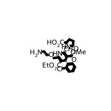 CCOC(=O)C1=C(COCCN)NC(C)=C(C(=O)OC)[C@@H]1c1ccccc1Cl.O=C1CCC(C(=O)O)N1